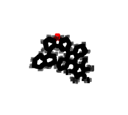 [2H]c1c([2H])c([2H])c(-c2c3ccccc3c(-c3ccc4oc5cccc(-c6cccc7ccccc67)c5c4c3)c3ccccc23)c([2H])c1[2H]